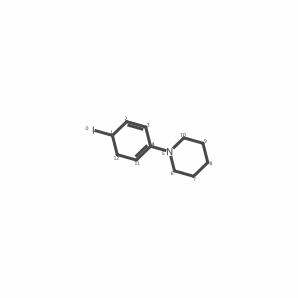 IC1C=CC(N2CCCCC2)=CC1